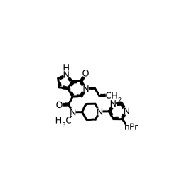 C=CCn1cc(C(=O)N(C)C2CCN(c3cc(CCC)ncn3)CC2)c2cc[nH]c2c1=O